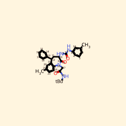 Cc1cccc(NC(=O)NC2CC(c3ccccc3)c3cc(C)ccc3N(CC(=O)NC(C)(C)C)C2=O)c1